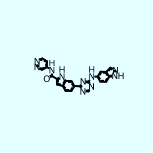 O=C(Nc1ccnnc1)c1cc2ccc(-c3ncnc(Nc4ccc5[nH]ncc5c4)n3)cc2[nH]1